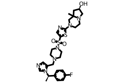 C[C@H](c1ccc(F)cc1)n1cncc1CN1CCN(S(=O)(=O)c2cnc(N3CCN4C[C@H](O)CC4(C)C3)s2)CC1